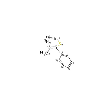 [2H]/C(C)=C(\SCCCCC)c1ccccc1